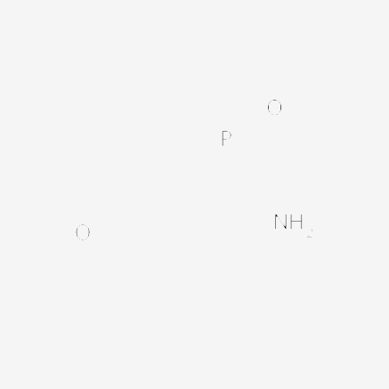 COC(C)CC(N)P=O